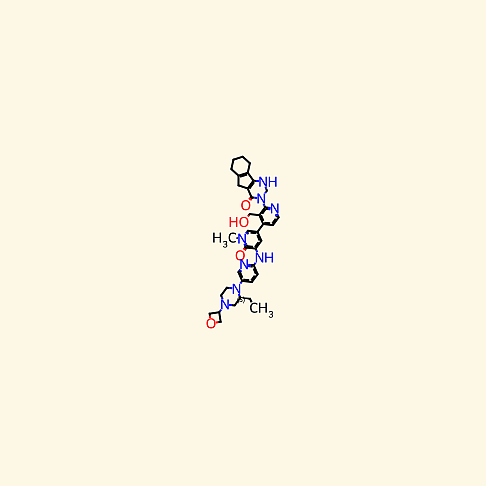 CC[C@H]1CN(C2COC2)CCN1c1ccc(Nc2cc(-c3ccnc(N4CNC5=C(CC6=C5CCCC6)C4=O)c3CO)cn(C)c2=O)nc1